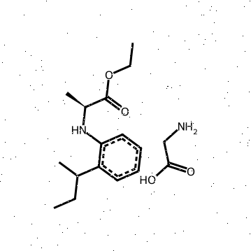 CCOC(=O)[C@H](C)Nc1ccccc1C(C)CC.NCC(=O)O